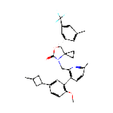 COc1ccc(C2CC(C)C2)cc1-c1ccc(C)nc1CN1C(=O)O[C@H](c2cc(C)cc(C(F)(F)F)c2)C12CC2